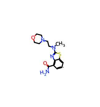 CN(CCN1CCOCC1)c1nc2c(C(N)=O)c[c]cc2s1